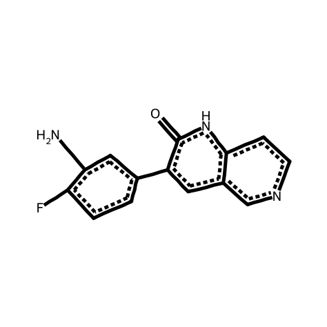 Nc1cc(-c2cc3cnccc3[nH]c2=O)ccc1F